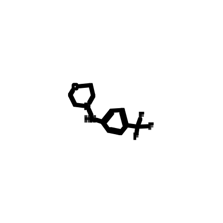 FC(F)(F)c1ccc(NN2CCOCC2)cc1